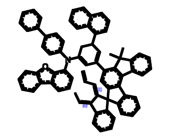 C=C/C=C1\C(=C/C)c2ccccc2C12c1ccccc1-c1c2cc(C2=CC(c3cccc4ccccc34)CC(N(c3ccc(-c4ccccc4)cc3)c3cccc4c3oc3ccccc34)=C2)c2c1-c1ccccc1C2(C)C